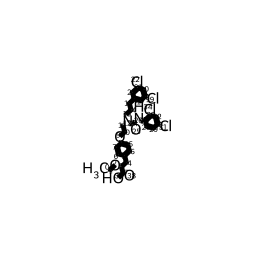 CCOC(Cc1ccc(OCCN(CCCc2cc(Cl)cc(Cl)c2)C(=O)Nc2ccc(Cl)cc2Cl)cc1)C(=O)O